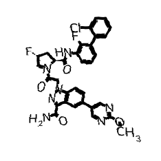 COc1ncc(-c2ccc3c(c2)c(C(N)=O)nn3CC(=O)N2C[C@H](F)C[C@H]2C(=O)Nc2cccc(-c3ccccc3Cl)c2F)cn1